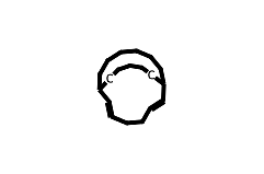 C1=C/C2CCCCCCC(/C=C/CC/1)CCCCC2